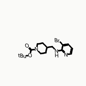 CC(C)(C)OC(=O)N1CCC(CNc2ncccc2Br)CC1